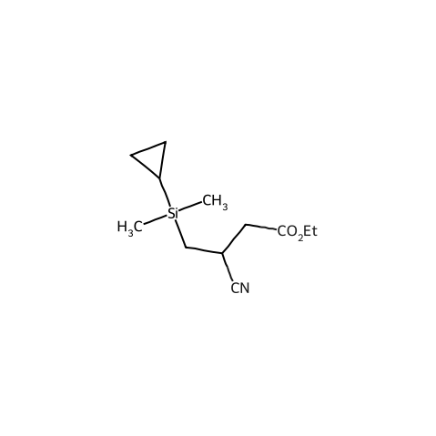 CCOC(=O)CC(C#N)C[Si](C)(C)C1CC1